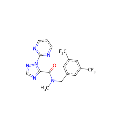 CN(Cc1cc(C(F)(F)F)cc(C(F)(F)F)c1)C(=O)c1ncnn1-c1ncccn1